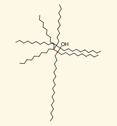 CCCCCCCCCCCCCCCCCC(CCCCCCCCCC)(CCCCCCCCCC)C(O)(CCCCCCCCCC)C(CCCCCCCCCC)(CCCCCCCCCC)CCCCCCCCCC